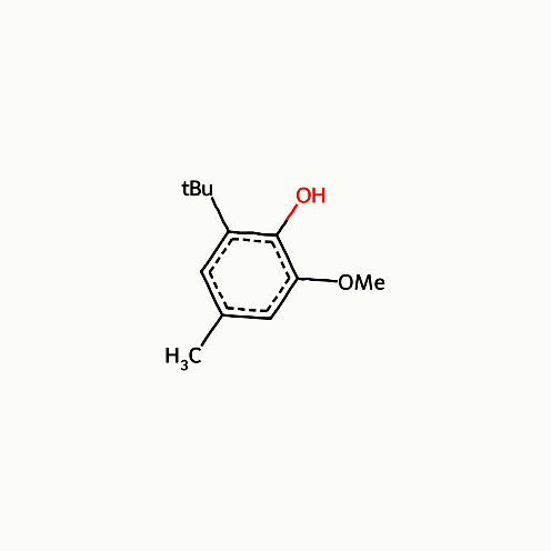 COc1cc(C)cc(C(C)(C)C)c1O